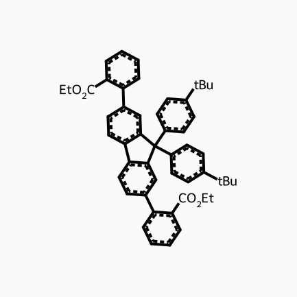 CCOC(=O)c1ccccc1-c1ccc2c(c1)C(c1ccc(C(C)(C)C)cc1)(c1ccc(C(C)(C)C)cc1)c1cc(-c3ccccc3C(=O)OCC)ccc1-2